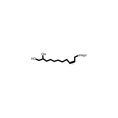 CCCCCCCC/C=C\CCCCCCC(O)CO